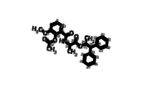 COc1ccnc(C(=O)NC(C)C(=O)O[C@@H](C)C(c2ccccc2)c2ccccc2)c1OC(C)=O